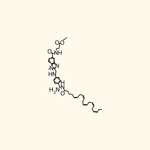 CC/C=C\C/C=C\C/C=C\C/C=C\C/C=C\CCCC(=O)NC(N)c1ccc(NCc2nc3cc(C(=O)NCCC(=O)OCC)ccc3n2C)cc1